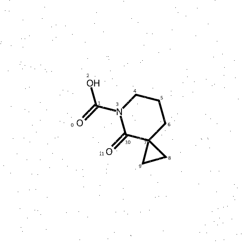 O=C(O)N1CCCC2(CC2)C1=O